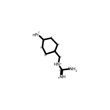 CCCC1CCC(CNC(=N)N)CC1